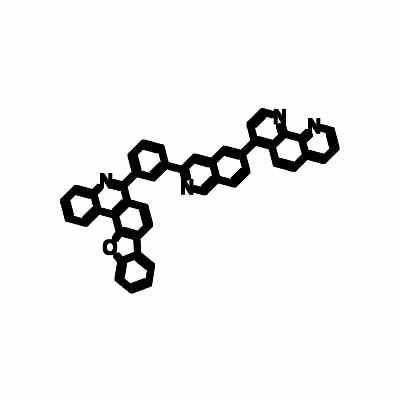 c1cc(-c2cc3cc(-c4ccnc5c4ccc4cccnc45)ccc3cn2)cc(-c2nc3ccccc3c3c2ccc2c4ccccc4oc23)c1